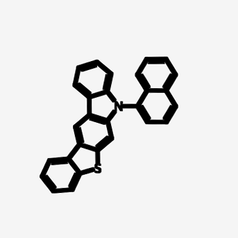 c1ccc2c(-n3c4ccccc4c4cc5c(cc43)sc3ccccc35)cccc2c1